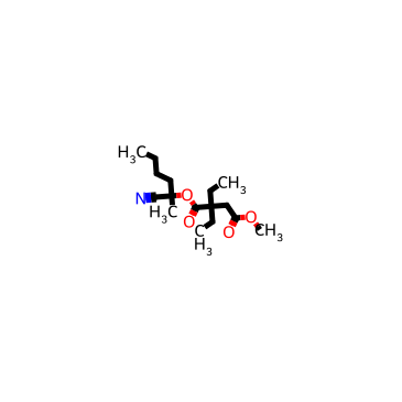 CCCCC(C)(C#N)OC(=O)C(CC)(CC)CC(=O)OC